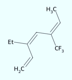 C=C/C(=C\C(=C/C)C(F)(F)F)CC